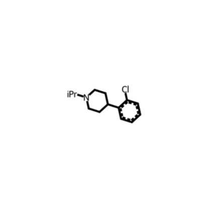 CC(C)N1CCC(c2ccccc2Cl)CC1